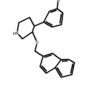 Brc1cccc(C2CCNCC2OCc2ccc3ccccc3c2)c1